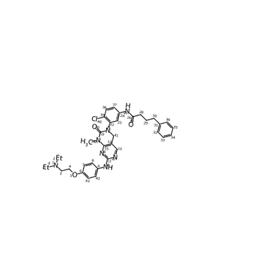 CCN(CC)CCOc1ccc(Nc2ncc3c(n2)N(C)C(=O)N(c2cc(NC(=O)CCCc4ccccc4)ccc2Cl)C3)cc1